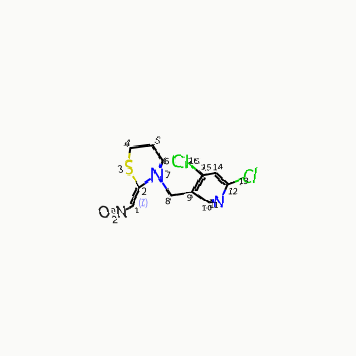 O=[N+]([O-])/C=C1\SCCCN1Cc1cnc(Cl)cc1Cl